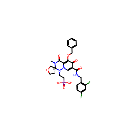 CN1C(=O)c2c(OCc3ccccc3)c(=O)c(C(=O)NCc3ccc(F)cc3F)cn2N(CCP(=O)(O)O)[C@]12CCOC2